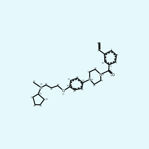 C=Cc1cccc(C(=O)N2CCN(c3ccc(OCCCN(C)C4CCCC4)cc3)CC2)c1